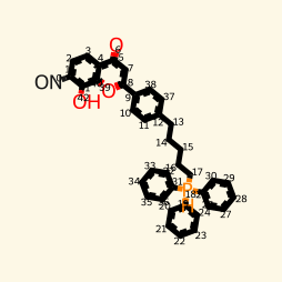 O=Nc1ccc2c(=O)cc(-c3ccc(CCCCC[PH](c4ccccc4)(c4ccccc4)c4ccccc4)cc3)oc2c1O